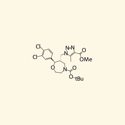 COC(=O)c1nnn(C[C@@H]2CN(C(=O)OC(C)(C)C)CCO[C@H]2c2ccc(Cl)c(Cl)c2)c1C